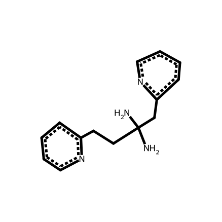 NC(N)(CCc1ccccn1)Cc1ccccn1